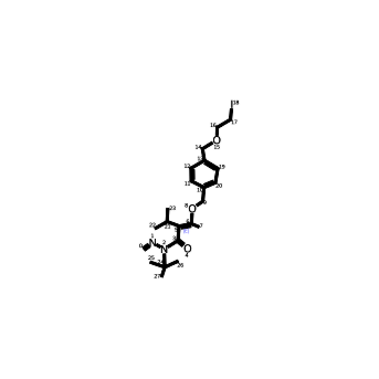 C=NN(C(=O)/C(=C(\C)OCc1ccc(COCCI)cc1)C(C)C)C(C)(C)C